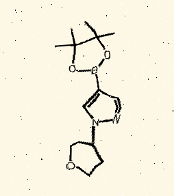 CC1(C)OB(c2cnn([C@H]3CCOC3)c2)OC1(C)C